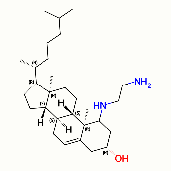 CC(C)CCC[C@@H](C)[C@H]1CC[C@H]2[C@@H]3CC=C4C[C@@H](O)CC(NCCN)[C@]4(C)[C@H]3CC[C@]12C